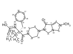 CN1C=C2C(=O)N(N3CCN(C(=O)[C@](Cc4ccccc4)(NC(=O)O)C(C)(C)C)CC3)CN2C1